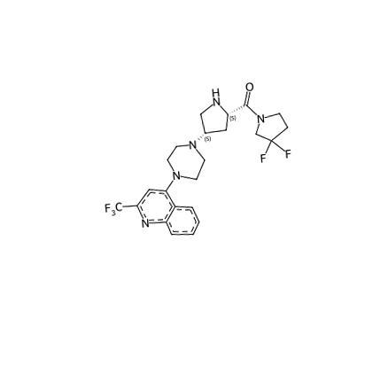 O=C([C@@H]1C[C@H](N2CCN(c3cc(C(F)(F)F)nc4ccccc34)CC2)CN1)N1CCC(F)(F)C1